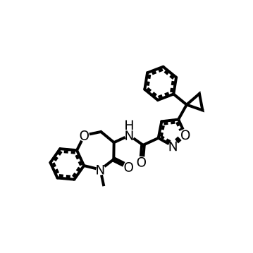 CN1C(=O)C(NC(=O)c2cc(C3(c4ccccc4)CC3)on2)COc2ccccc21